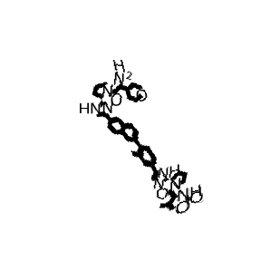 COC(=O)N[C@H](C(=O)N1CCC[C@H]1c1ncc(-c2ccc(-c3ccc4cc(-c5c[nH]c([C@@H]6CCCN6C(=O)[C@@H](N)C6CCOCC6)n5)ccc4c3)c(C)c2)[nH]1)C(C)C